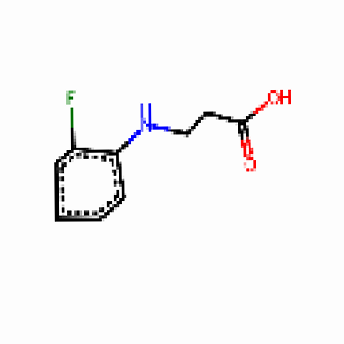 O=C(O)CCNc1ccccc1F